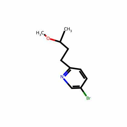 COC(C)CCc1ccc(Br)cn1